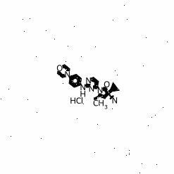 CC[C@@H]1C[C@@](C#N)(C2CC2)C(=O)N1c1ccnc(Nc2ccc(N3CCOCC3)cc2)n1.Cl